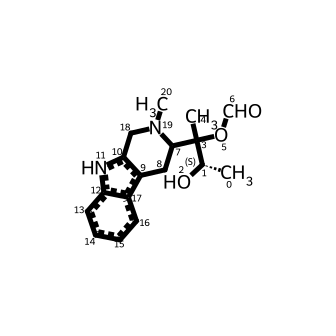 C[C@H](O)C(C)(OC=O)C1Cc2c([nH]c3ccccc23)CN1C